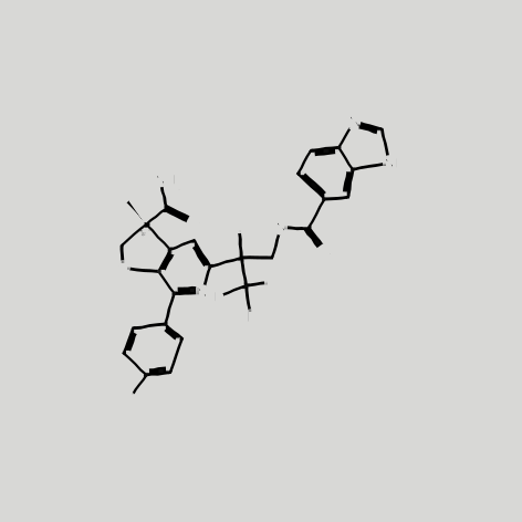 C[C@]1(C(N)=O)COc2c1cc(C(O)(CNC(=O)c1ccc3nc[nH]c3c1)C(F)(F)F)nc2-c1ccc(F)cc1